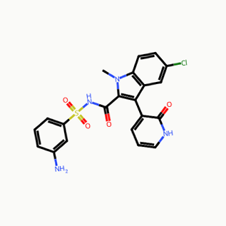 Cn1c(C(=O)NS(=O)(=O)c2cccc(N)c2)c(-c2ccc[nH]c2=O)c2cc(Cl)ccc21